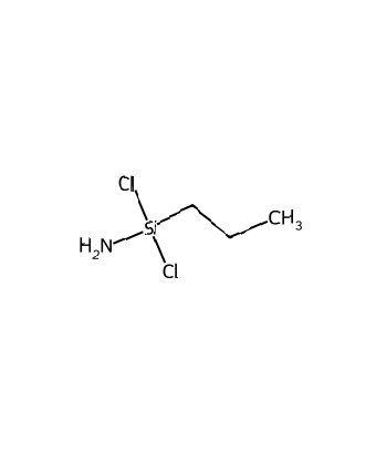 CCC[Si](N)(Cl)Cl